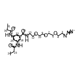 [N-]=[N+]=NCCOCCOCCOCCNC(=O)c1cc(NC(=O)CI)cc(NC(=O)CI)c1